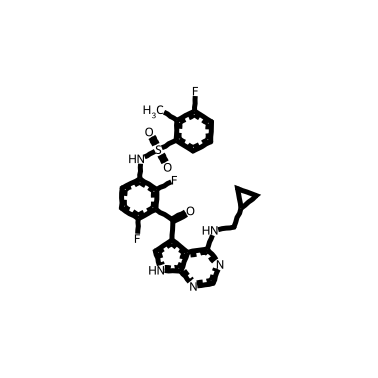 Cc1c(F)cccc1S(=O)(=O)Nc1ccc(F)c(C(=O)c2c[nH]c3ncnc(NCC4CC4)c23)c1F